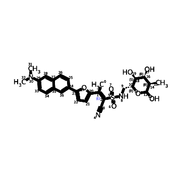 C/C(=C(/C#N)S(=O)(=O)NC[C@H]1OC(O)[C@H](C)[C@@H](O)[C@@H]1O)c1ccc(-c2ccc3cc(N(C)C)ccc3c2)o1